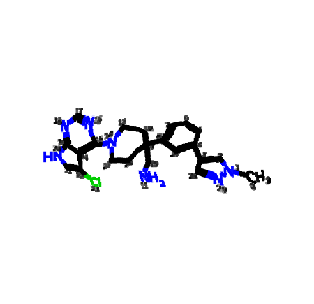 Cn1cc(-c2cccc(C3(CN)CCN(c4ncnc5[nH]cc(Cl)c45)CC3)c2)cn1